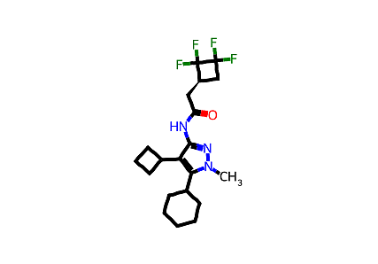 Cn1nc(NC(=O)C[C@@H]2CC(F)(F)C2(F)F)c(C2CCC2)c1C1CCCCC1